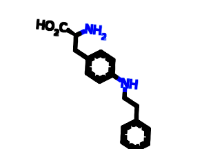 N[C@@H](Cc1ccc(NCCc2ccccc2)cc1)C(=O)O